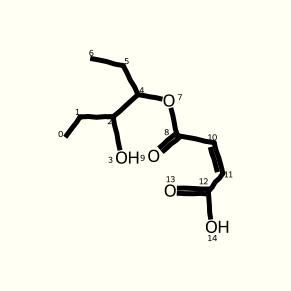 CCC(O)C(CC)OC(=O)/C=C\C(=O)O